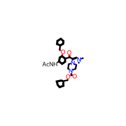 CC(=O)Nc1ccc(C(=O)/C(=C/N(C)C)N2CCN(C(=O)OCc3ccccc3)CC2)c(OCc2ccccc2)c1